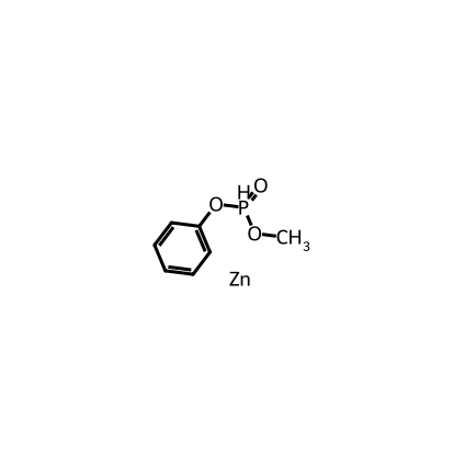 CO[PH](=O)Oc1ccccc1.[Zn]